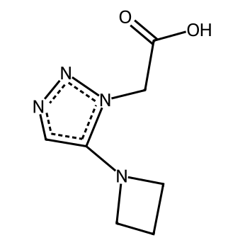 O=C(O)Cn1nncc1N1CCC1